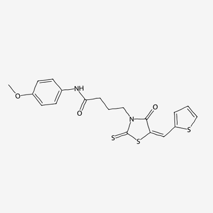 COc1ccc(NC(=O)CCCN2C(=O)/C(=C\c3cccs3)SC2=S)cc1